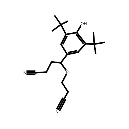 CC(C)(C)c1cc(C(CCC#N)PCCC#N)cc(C(C)(C)C)c1O